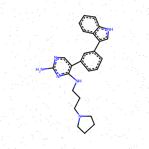 Nc1ncc(-c2cccc(-c3c[nH]c4ccccc34)c2)c(NCCCN2CCCC2)n1